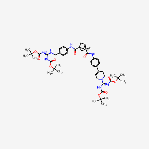 CC(C)(C)OC(=O)/N=C(/NCc1ccc(NC(=O)C23CC(C2)[C@H](C(=O)Nc2ccc(C4=CCN(/C(=N\C(=O)OC(C)(C)C)NC(=O)OC(C)(C)C)CC4)cc2)C3)cc1)NC(=O)OC(C)(C)C